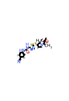 CC(N1CC[C@H](Sc2nnc(NC(=O)Nc3ccc(C#N)cc3)s2)C1)C1(C)CO1